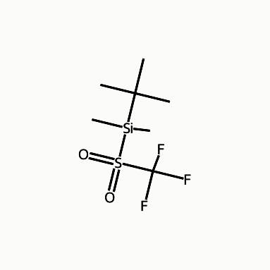 CC(C)(C)[Si](C)(C)S(=O)(=O)C(F)(F)F